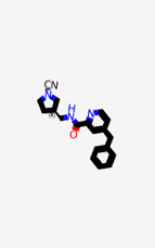 N#CN1CC[C@H](CNC(=O)c2cc(Cc3ccccc3)ccn2)C1